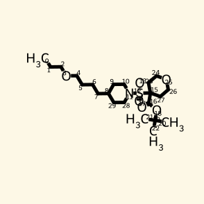 CCCOCCCCC1CCN(S(=O)(=O)C2(C(=O)OC(C)(C)C)CCOCC2)CC1